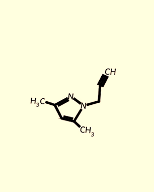 C#CCn1nc(C)[c]c1C